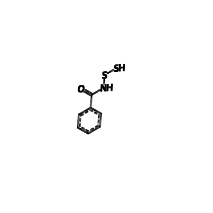 O=C(NSS)c1ccccc1